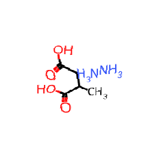 CC(CC(=O)O)C(=O)O.N.N